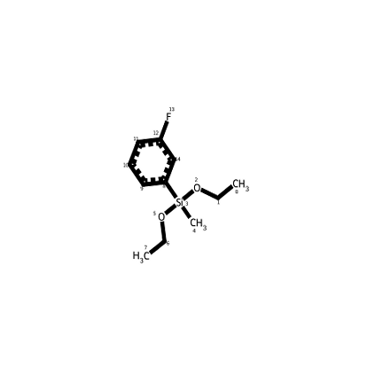 CCO[Si](C)(OCC)c1cccc(F)c1